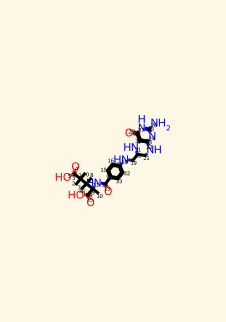 CC(C)(C(=O)O)C(C)(C)C(C)(NC(=O)c1ccc(NCC2CNc3nc(N)[nH]c(=O)c3N2)cc1)C(=O)O